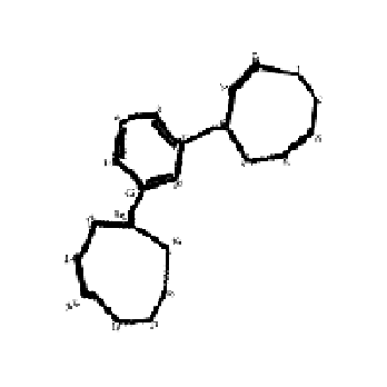 [CH]1CCCCCC(c2cccc(C3[CH]CCCCCC3)c2)C1